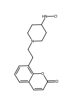 O=c1ccc2cccc(CCN3CCC(NCl)CC3)c2o1